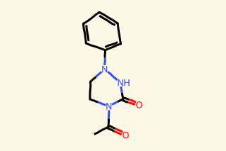 CC(=O)N1CCN(c2ccccc2)NC1=O